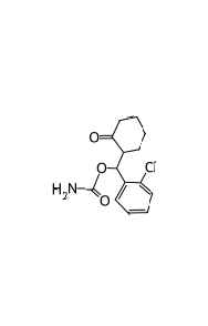 NC(=O)OC(c1ccccc1Cl)C1CCCCC1=O